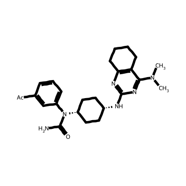 CC(=O)c1cccc(N(C(N)=O)[C@H]2CC[C@@H](Nc3nc4c(c(N(C)C)n3)CCCC4)CC2)c1